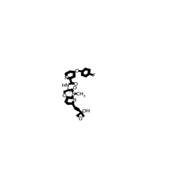 CN1C(=O)[C@@H](NC(=O)c2cc(Oc3ccc(F)cc3)ccn2)COc2ccc(C#CC3(O)COC3)nc21